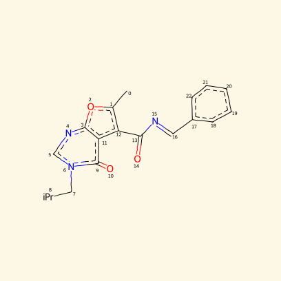 Cc1oc2ncn(CC(C)C)c(=O)c2c1C(=O)/N=C/c1ccccc1